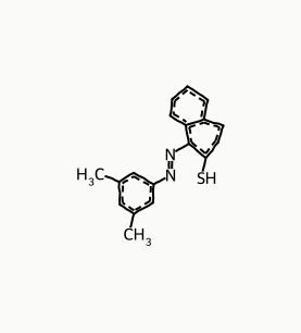 Cc1cc(C)cc(N=Nc2c(S)ccc3ccccc23)c1